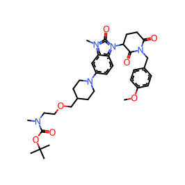 COc1ccc(CN2C(=O)CCC(n3c(=O)n(C)c4cc(N5CCC(COCCN(C)C(=O)OC(C)(C)C)CC5)ccc43)C2=O)cc1